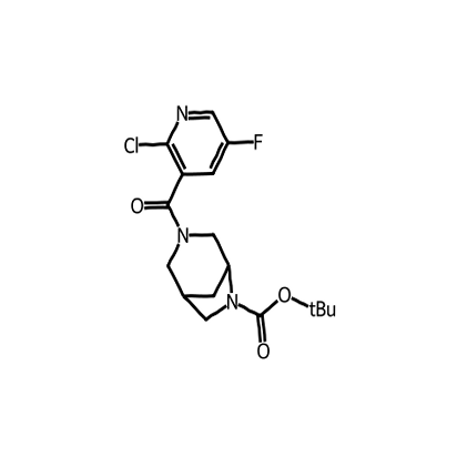 CC(C)(C)OC(=O)N1CC2CC1CN(C(=O)c1cc(F)cnc1Cl)C2